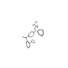 O=C(c1ccccc1Cl)N1CCN(C(=NC2(C(=O)O)CC2)c2ccccc2)CC1